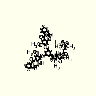 COc1cc2c(cc1OCc1cc(COc3cc4c(cc3OC)C(=O)N3c5ccccc5C[C@H]3CN4)cc(NC(=O)[C@H](C)NC(=O)[C@H](C)NC(=O)CCC(C)(C)S(C)=S)c1)N=C[C@@H]1Cc3ccccc3N1C2=O